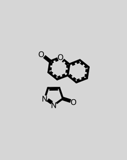 O=C1C=CN=N1.O=c1ccc2ccccc2o1